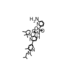 Cc1cc(-c2ccc(C(=O)NS(=O)(=O)c3cccc(N)n3)c(N3CCC(C)C3(C)C)n2)cnc1N(C)CC(C)C